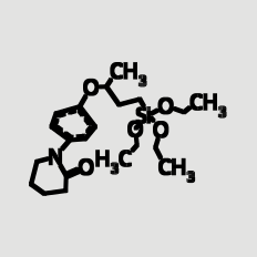 CCO[Si](CCC(C)Oc1ccc(N2CCCCC2=O)cc1)(OCC)OCC